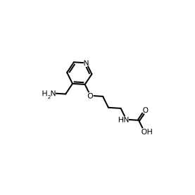 NCc1ccncc1OCCCNC(=O)O